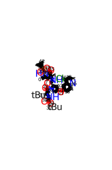 C=CC[C@@](C)(NC(=O)[C@@H]1C[C@@H](Oc2ccc3nccc(Cl)c3c2)CN1C(=O)[C@@H](NC(=O)OC(C)(C)C)C(C)(C)C)C(=O)NS(=O)(=O)C1CC1